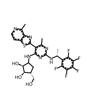 Cc1nc(N[C@H](C)c2c(F)c(F)c(F)c(F)c2F)nc(NC2C[C@H](CO)[C@@H](O)[C@H]2O)c1-c1nc2c(C)nccc2s1